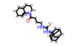 O=C(CCCNC(=S)NC12CC3CC(CC(C3)C1)C2)N1CCCC2CCCC=C21